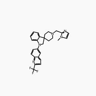 Cn1ccnc1CN1CCC2(CC1)CN(c1ccc3nc(C(F)(F)F)ccc3c1)c1ccccc12